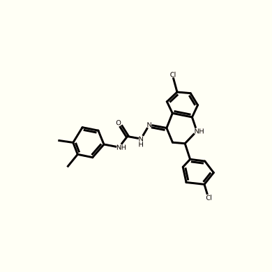 Cc1ccc(NC(=O)NN=C2CC(c3ccc(Cl)cc3)Nc3ccc(Cl)cc32)cc1C